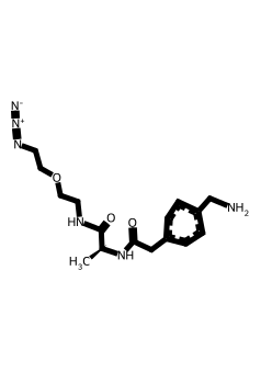 C[C@H](NC(=O)Cc1ccc(CN)cc1)C(=O)NCCOCCN=[N+]=[N-]